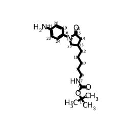 CC(C)(C)OC(=O)NCCCCCC1CC(=O)N(c2ccc(N)cc2)C1